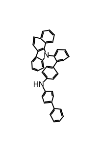 c1ccc(-c2ccc(Nc3ccc(-c4ccccc4-n4c5ccccc5c5ccc6ccccc6c54)cc3)cc2)cc1